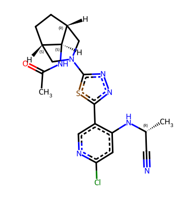 CC(=O)N[C@@H]1[C@@H]2CC[C@H]1CN(c1nnc(-c3cnc(Cl)cc3N[C@H](C)C#N)s1)C2